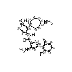 Cn1ncc(NC(=O)c2nc(-c3c(F)cccc3F)sc2N)c1N1CCC[C@H](N)CC1